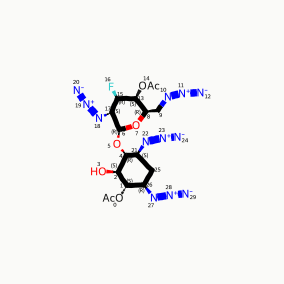 CC(=O)O[C@@H]1[C@@H](O)[C@H](O[C@H]2O[C@H](CN=[N+]=[N-])[C@H](OC(C)=O)[C@H](F)[C@H]2N=[N+]=[N-])[C@@H](N=[N+]=[N-])C[C@H]1N=[N+]=[N-]